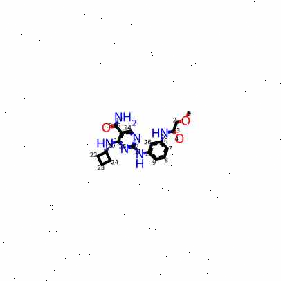 COCC(=O)Nc1cccc(Nc2ncc(C(N)=O)c(NC3CCC3)n2)c1